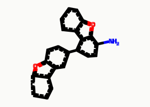 Nc1ccc(-c2ccc3oc4ccccc4c3c2)c2c1oc1ccccc12